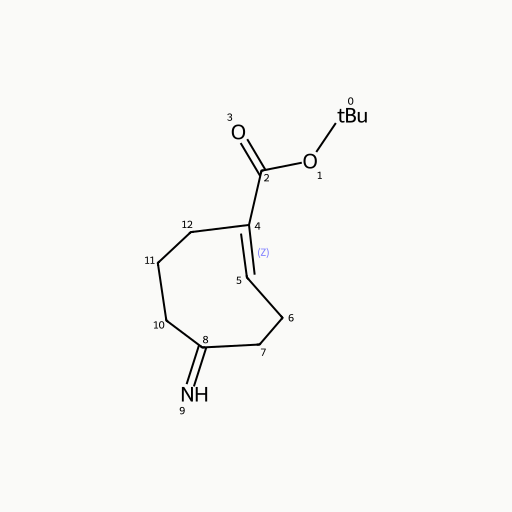 CC(C)(C)OC(=O)/C1=C\CCC(=N)CCC1